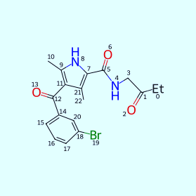 CCC(=O)CNC(=O)c1[nH]c(C)c(C(=O)c2cccc(Br)c2)c1C